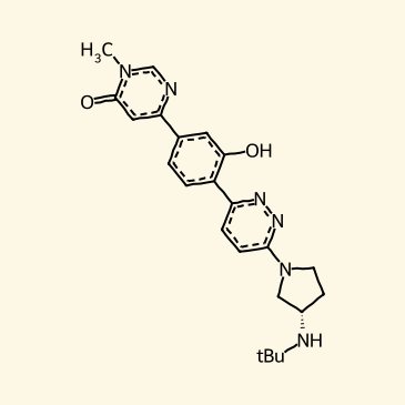 Cn1cnc(-c2ccc(-c3ccc(N4CC[C@H](NC(C)(C)C)C4)nn3)c(O)c2)cc1=O